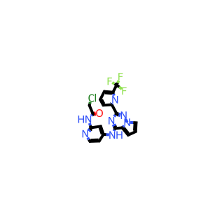 O=C(CCl)Nc1cc(Nc2nc(-c3cccc(C(F)(F)F)n3)nn3cccc23)ccn1